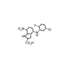 O=C(O)c1cc2c(Nc3cc(Cl)ccc3F)ccc([N+](=O)[O-])c2[nH]1